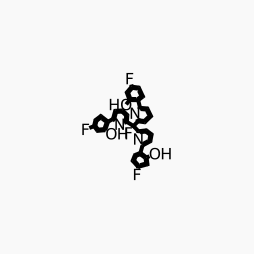 Oc1cc(F)ccc1-c1cccc(C(F)(c2cccc(-c3ccc(F)cc3O)n2)c2cccc(-c3ccc(F)cc3O)n2)n1